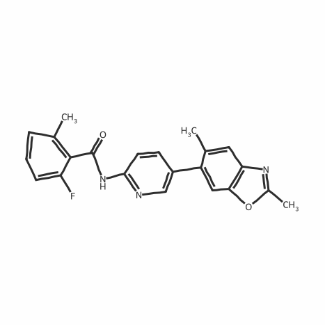 Cc1nc2cc(C)c(-c3ccc(NC(=O)c4c(C)cccc4F)nc3)cc2o1